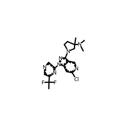 CN(C)C1(C)CCN(c2nn(-c3cncc(C(C)(F)F)n3)c3cc(Cl)ncc23)C1